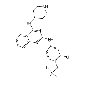 FC(F)(F)Sc1ccc(Nc2nc(NC3CCNCC3)c3ccccc3n2)cc1Cl